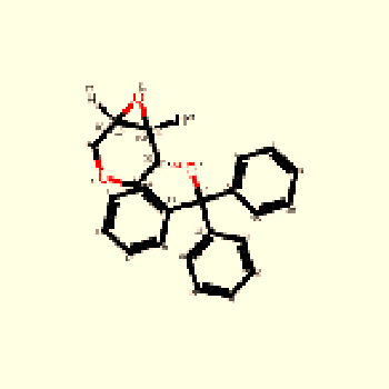 c1ccc(C(O[C@@H]2COC[C@@H]3O[C@@H]32)(c2ccccc2)c2ccccc2)cc1